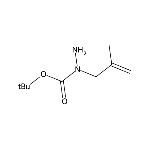 C=C(C)CN(N)C(=O)OC(C)(C)C